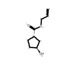 C=CCOC(=O)[C@H]1CC[C@H](O)C1